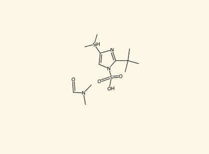 CN(C)C=O.C[SiH](C)c1cn(S(=O)(=O)O)c(C(C)(C)C)n1